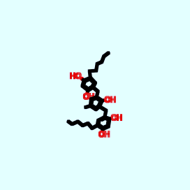 CCCCCCc1cc(Cc2cc(C)cc(Cc3cc(CCCCCC)c(O)cc3O)c2O)c(O)cc1O